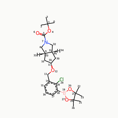 CC(C)(C)OC(=O)N1C[C@H]2C[C@H](OCc3cccc(B4OC(C)(C)C(C)(C)O4)c3Cl)C[C@H]2C1